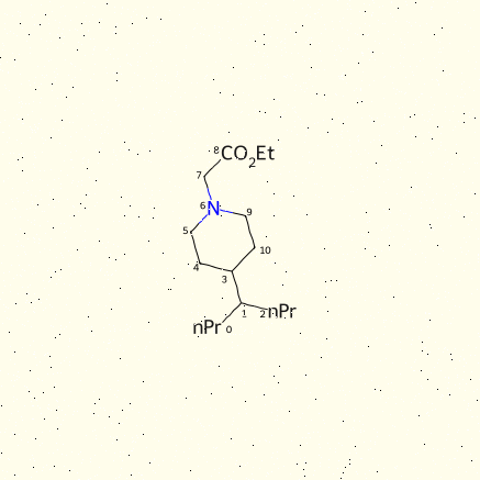 CCCC(CCC)C1CCN(CC(=O)OCC)CC1